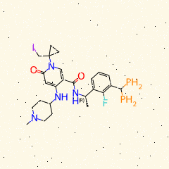 C[C@@H](NC(=O)c1cn(C2(CI)CC2)c(=O)cc1NC1CCN(C)CC1)c1cccc(C(P)P)c1F